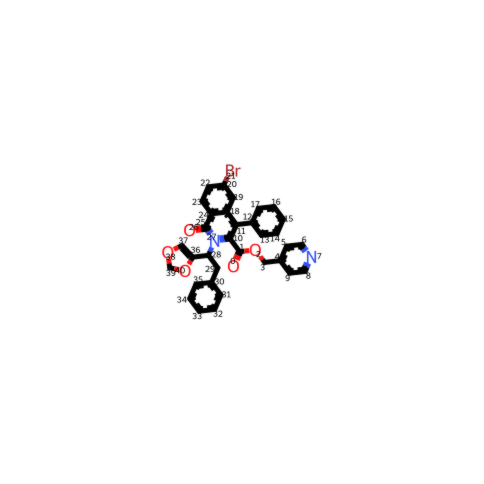 O=C(OCc1ccncc1)c1c(-c2ccccc2)c2cc(Br)ccc2c(=O)n1C(Cc1ccccc1)C1=COCO1